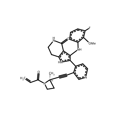 C=CC(=O)N1CC[C@]1(C)C#Cc1cnccc1-c1[nH]c2c(c1Nc1cccc(F)c1OC)C(=O)NCC2